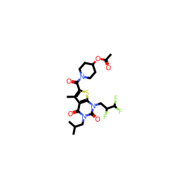 CC(=O)OC1CCN(C(=O)c2sc3c(c2C)c(=O)n(CC(C)C)c(=O)n3CC(F)C(F)F)CC1